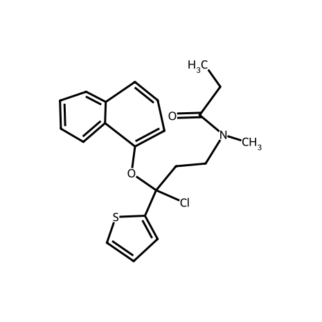 CCC(=O)N(C)CCC(Cl)(Oc1cccc2ccccc12)c1cccs1